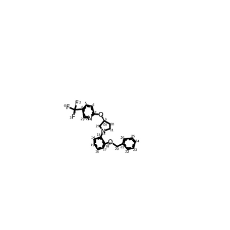 FC(F)(F)c1ccc(O[C@H]2CCN(c3ccccc3OCc3ccccc3)C2)nc1